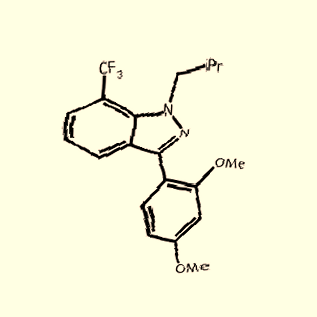 COc1ccc(-c2nn(CC(C)C)c3c(C(F)(F)F)cccc23)c(OC)c1